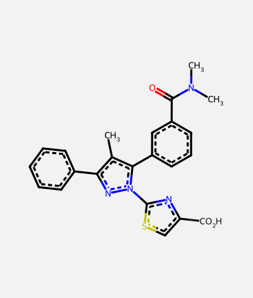 Cc1c(-c2ccccc2)nn(-c2nc(C(=O)O)cs2)c1-c1cccc(C(=O)N(C)C)c1